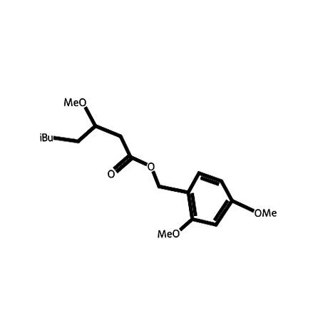 CCC(C)CC(CC(=O)OCc1ccc(OC)cc1OC)OC